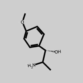 COc1ccc([C@H](O)C(C)N)cc1